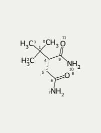 CC(C)(C)[C@@H](CC(N)=O)C(N)=O